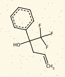 C=CCC(O)(c1ccccc1)C(F)(F)F